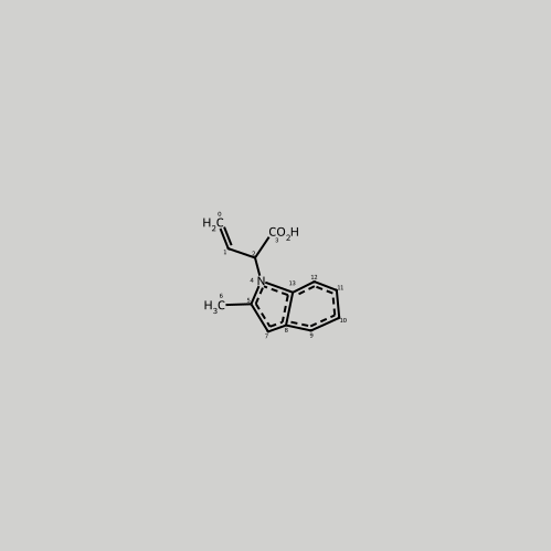 C=CC(C(=O)O)n1c(C)cc2ccccc21